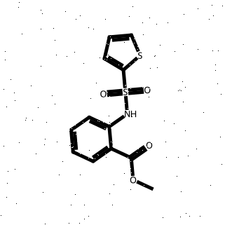 COC(=O)c1ccccc1NS(=O)(=O)c1cccs1